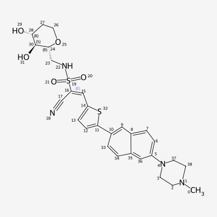 CN1CCN(c2ccc3cc(-c4ccc(/C=C(\C#N)S(=O)(=O)NC[C@H]5OCC[C@@H](O)[C@@H]5O)s4)ccc3c2)CC1